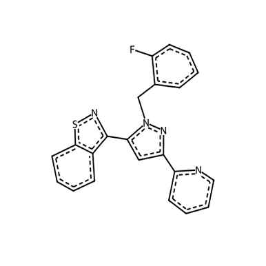 Fc1ccccc1Cn1nc(-c2ccccn2)cc1-c1nsc2ccccc12